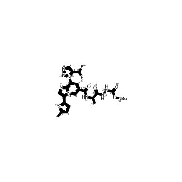 Cc1ccc(-c2cnc3c(-n4nncc4C(F)F)cc(C(=O)NC(C)C(=O)NNC(=O)OC(C)(C)C)cn23)s1